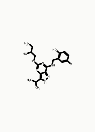 CC(C)c1[nH]nc2c(NCc3cc(F)ccc3O)nc(NCC(O)CN)nc12